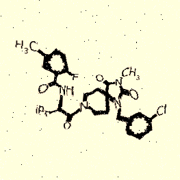 Cc1ccc(F)c(C(=O)N[C@@H](C(=O)N2CCC3(CC2)C(=O)N(C)C(=O)N3Cc2cccc(Cl)c2)C(C)C)c1